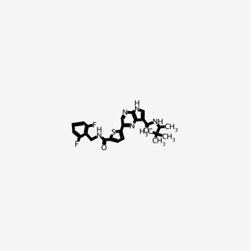 CC(NC(=O)c1c[nH]c2ncc(-c3ccc(C(=O)NCc4c(F)cccc4F)s3)nc12)C(C)(C)C